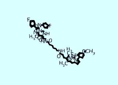 COc1ccc(-c2ccc3n2[B-](F)(F)[N+]2=C(C)C(CCC(=O)NCCCCCC(=O)NCC(=O)C4NCn5c(nc(-c6ccc(F)cc6)c5Nc5ccc(F)cc5)C4(C)C)=C(C)C2=C3)cc1